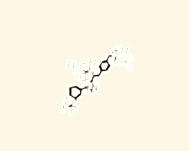 CC(=O)NC(Cc1ccc(CN(C)C)cc1)c1nnc(-c2cccc(OC(F)(F)F)c2)s1